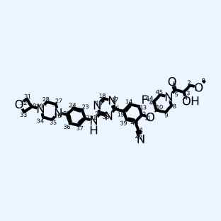 COCC(O)C(=O)N1CC[C@H](OC2CC=C(c3ncnc(Nc4ccc(N5CCN(C6COC6)CC5)cc4)n3)C=C2C#N)[C@H](F)C1